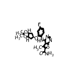 Cc1c(C(N)=O)sc2ncnc(Nc3ccc(F)cc3O[C@H]3C[C@@H]4OC(C)(C)O[C@@H]4C3)c12